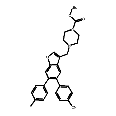 Cc1ccc(-c2cc3occ(CN4CCN(C(=O)OC(C)(C)C)CC4)c3cc2-c2ccc(C#N)cc2)cc1